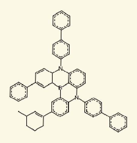 CC1C=C(c2ccc3c(c2)B2c4c(cccc4N(c4ccc(-c5ccccc5)cc4)C4C=CC(c5ccccc5)=CC24)N3c2ccc(-c3ccccc3)cc2)CCC1